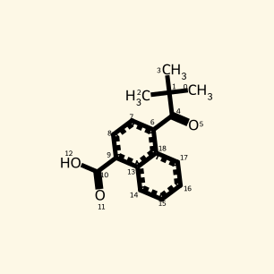 CC(C)(C)C(=O)c1ccc(C(=O)O)c2ccccc12